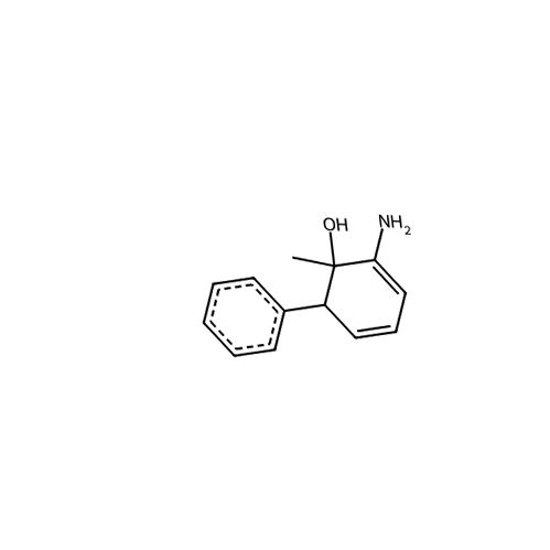 CC1(O)C(N)=CC=CC1c1ccccc1